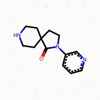 O=C1N(c2cccnc2)CCC12CCNCC2